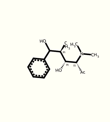 CC(=O)[C@H]([C@H](O)[C@H](C)C(O)c1ccccc1)N(C)C